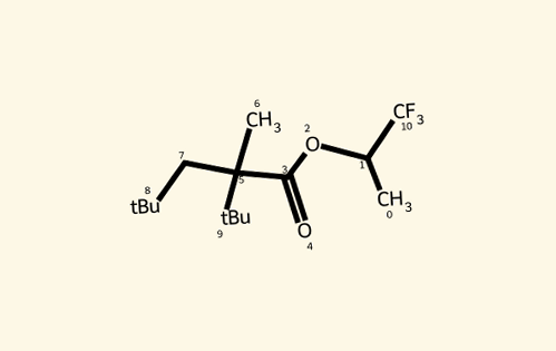 CC(OC(=O)C(C)(CC(C)(C)C)C(C)(C)C)C(F)(F)F